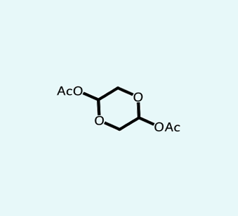 CC(=O)OC1COC(OC(C)=O)CO1